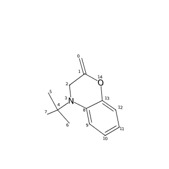 C=C1CN(C(C)(C)C)c2ccccc2O1